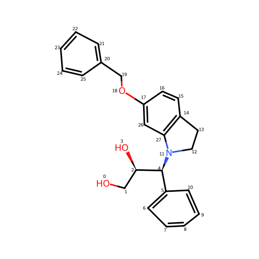 OC[C@@H](O)[C@H](c1ccccc1)N1CCc2ccc(OCc3ccccc3)cc21